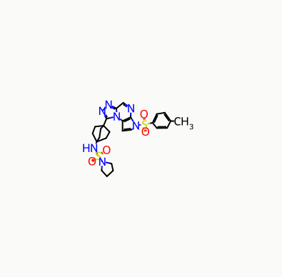 Cc1ccc(S(=O)(=O)n2ccc3c2ncc2nnc(C45CCC(NS(=O)(=O)N6CCCC6)(CC4)CC5)n23)cc1